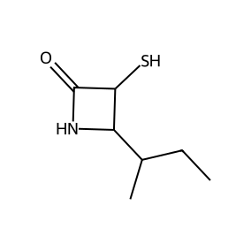 CCC(C)C1NC(=O)C1S